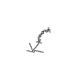 CCCCCCCCCC1CCC(CCCCCC)C(CCCCCCCC)C1CCCCCCCCN1C(=O)c2ccc(Oc3ccc(C(C)(C)c4ccc(Oc5ccc6c(c5)C(=O)N(C)C6=O)cc4)cc3)cc2C1=O